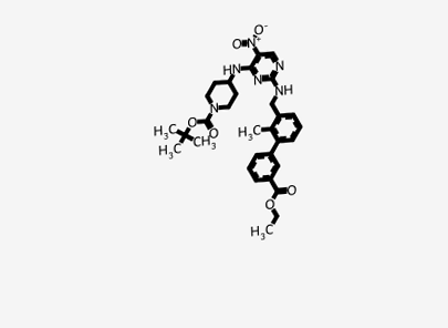 CCOC(=O)c1cccc(-c2cccc(CNc3ncc([N+](=O)[O-])c(NC4CCN(C(=O)OC(C)(C)C)CC4)n3)c2C)c1